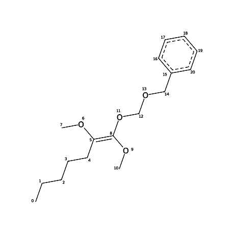 CCCCCC(OC)=C(OC)OCOCc1ccccc1